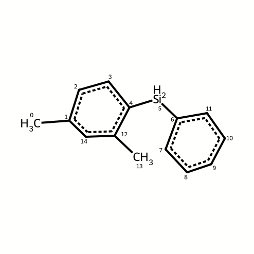 Cc1ccc([SiH2]c2ccccc2)c(C)c1